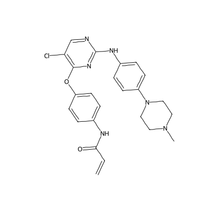 C=CC(=O)Nc1ccc(Oc2nc(Nc3ccc(N4CCN(C)CC4)cc3)ncc2Cl)cc1